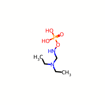 CCN(CC)CNOP(=O)(O)O